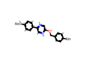 CCCc1ccc(COc2cnc(-c3ccc(OC)cc3)cn2)cc1